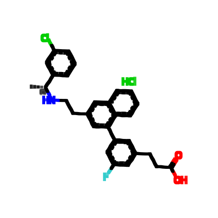 C[C@@H](NCCc1cc(-c2cc(F)cc(CCC(=O)O)c2)c2ccccc2c1)c1cccc(Cl)c1.Cl